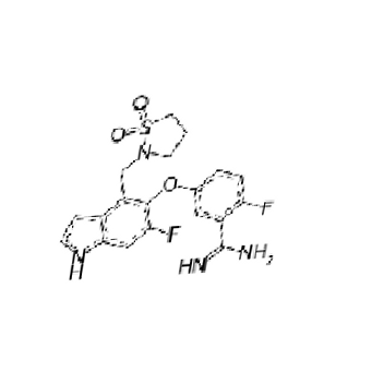 N=C(N)c1cc(Oc2c(F)cc3[nH]ccc3c2CN2CCCS2(=O)=O)ccc1F